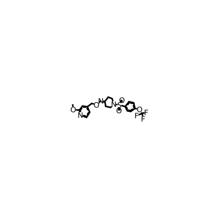 COc1cc(CON=C2CCN(S(=O)(=O)c3ccc(OC(F)(F)F)cc3)CC2)ccn1